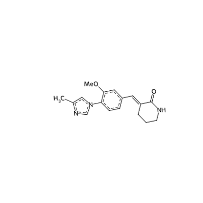 COc1cc(C=C2CCCNC2=O)ccc1-n1cnc(C)c1